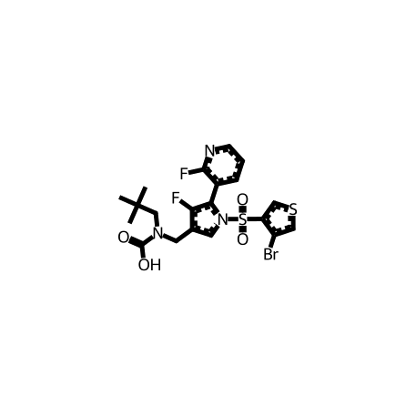 CC(C)(C)CN(Cc1cn(S(=O)(=O)c2cscc2Br)c(-c2cccnc2F)c1F)C(=O)O